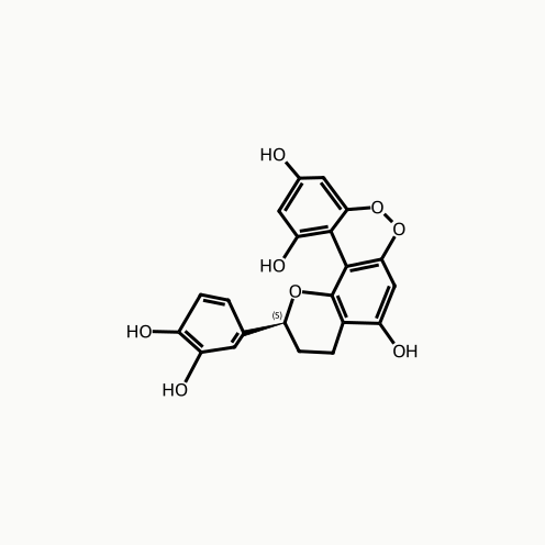 Oc1cc(O)c2c(c1)OOc1cc(O)c3c(c1-2)O[C@H](c1ccc(O)c(O)c1)CC3